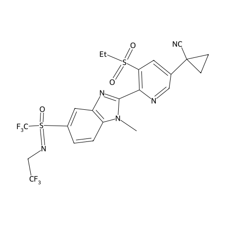 CCS(=O)(=O)c1cc(C2(C#N)CC2)cnc1-c1nc2cc(S(=O)(=NCC(F)(F)F)C(F)(F)F)ccc2n1C